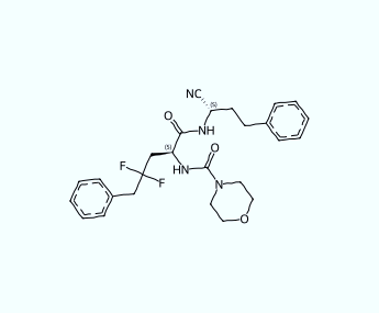 N#C[C@H](CCc1ccccc1)NC(=O)[C@H](CC(F)(F)Cc1ccccc1)NC(=O)N1CCOCC1